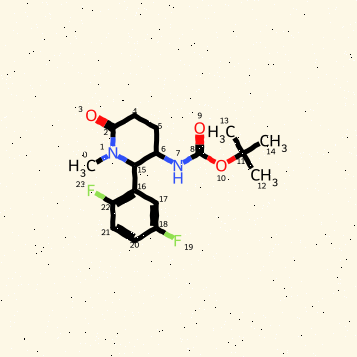 CN1C(=O)CCC(NC(=O)OC(C)(C)C)C1c1cc(F)ccc1F